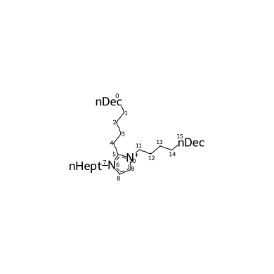 CCCCCCCCCCCCCCc1n(CCCCCCC)cc[n+]1CCCCCCCCCCCCCC